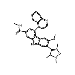 CNC(=O)c1nc(-c2ccnc3ccccc23)c2c(n1)[nH]c1cc(C3=C(C)ON(C)C3C)c(OC)cc12